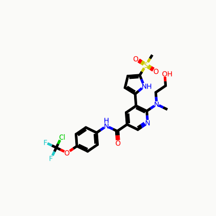 CN(CCO)c1ncc(C(=O)Nc2ccc(OC(F)(F)Cl)cc2)cc1-c1ccc(S(C)(=O)=O)[nH]1